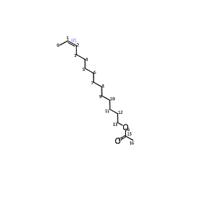 C/C=C\CCCCCCCCCCCOC(C)=O